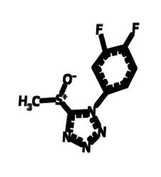 C[S+]([O-])c1nnnn1-c1ccc(F)c(F)c1